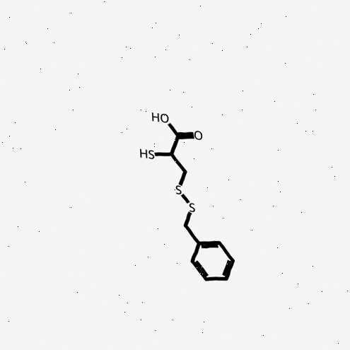 O=C(O)C(S)CSSCc1ccccc1